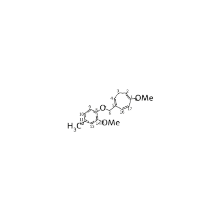 COC1=CCC=C(COc2ccc(C)cc2OC)C=C1